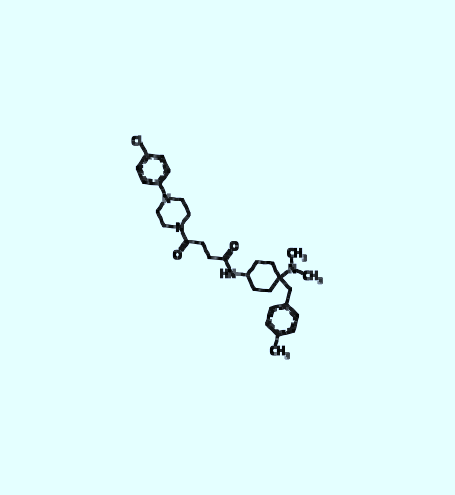 Cc1ccc(CC2(N(C)C)CCC(NC(=O)CCC(=O)N3CCN(c4ccc(Cl)cc4)CC3)CC2)cc1